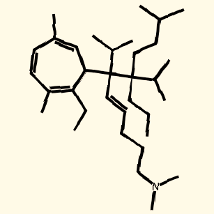 CCC[C@@](CCC(C)C)(C(C)C)C(C=CCCCN(C)C)(C(C)C)C1C=C(C)C=CC(C)=C1CC